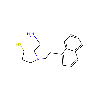 NCC1C(S)CCN1CCc1cccc2ccccc12